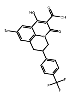 O=C(O)c1c(O)c2cc(Br)cc3c2n(c1=O)CC(c1ccc(C(F)(F)F)cc1)C3